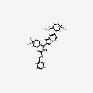 O=C(N[C@H](c1cn2ncc([C@@H]3CC(F)(F)CCN3C(=O)O)cc2n1)C1CCC(F)(F)CC1)OCc1ccccc1